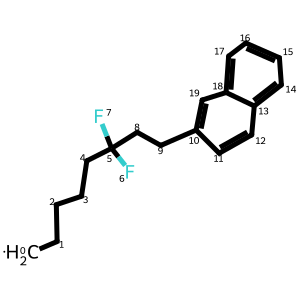 [CH2]CCCCC(F)(F)CCc1ccc2ccccc2c1